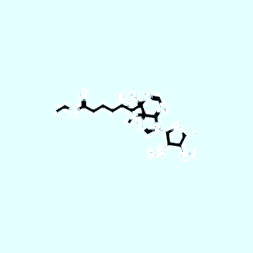 CCOC(=O)CCCCCC1(N)N=CN=C2N([C@@H]3O[C@H](C)[C@@H](O)[C@H]3O)C=NC21SC